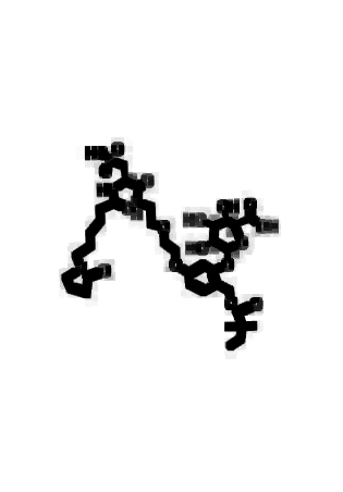 CCC(C)(C)C(=O)OCc1ccc(OCCOCCNC(=O)[C@H](CS(=O)(=O)O)NC(=O)CCCCCN2CC=CC2=O)cc1O[C@@H]1O[C@H](C(=O)O)[C@@H](O)[C@H](O)[C@H]1O